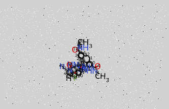 CCNC(=O)c1ccc2c(c1)CCc1cc(C(=O)NCC)ccc1C2(C[C@H](Cc1ccc(F)cc1)NCC(=O)N1[C@H](C#N)C[C@@H]2C[C@@H]21)c1nnn[nH]1